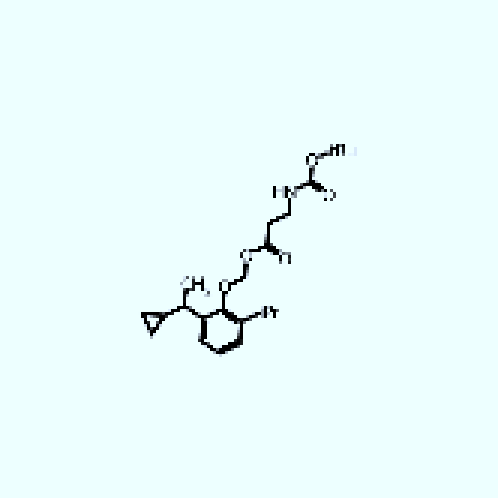 CC(C)c1cccc([C@H](C)C2CC2)c1OCOC(=O)CCNC(=O)OC(C)(C)C